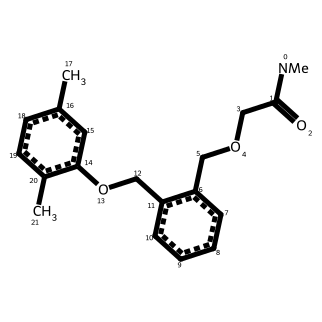 CNC(=O)COCc1ccccc1COc1cc(C)ccc1C